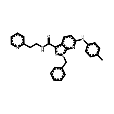 Cc1ccc(Nc2ccc3c(C(=O)NCCc4ccccn4)nn(Cc4ccccc4)c3n2)cc1